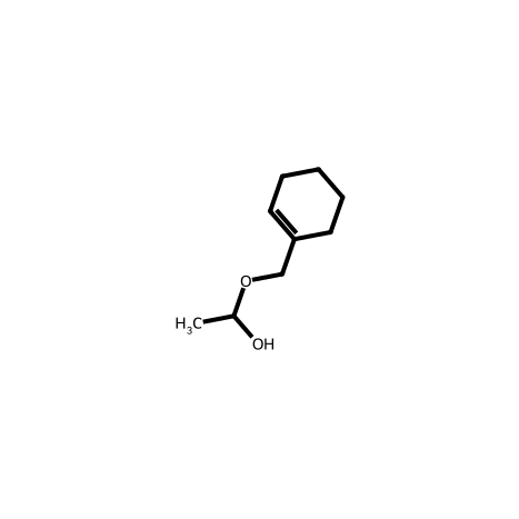 CC(O)OCC1=CCCCC1